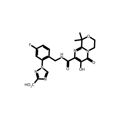 CC1(C)OCCn2c1nc(C(=O)NCc1ccc(F)cc1-n1cnc(C(=O)O)n1)c(O)c2=O